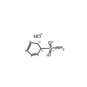 Cl.NS(=O)(=O)C1C=CC=CC1